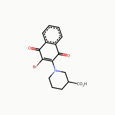 O=C1C(Br)=C(N2CCCC(C(=O)O)C2)C(=O)c2ccccc21